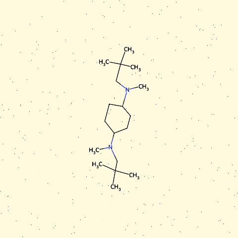 CN(CC(C)(C)C)C1CCC(N(C)CC(C)(C)C)CC1